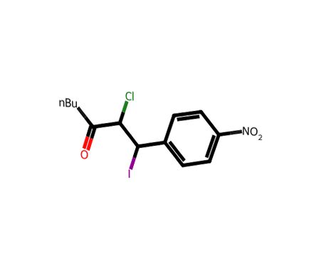 CCCCC(=O)C(Cl)C(I)c1ccc([N+](=O)[O-])cc1